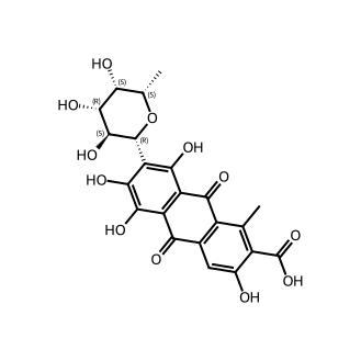 Cc1c(C(=O)O)c(O)cc2c1C(=O)c1c(O)c([C@H]3O[C@@H](C)[C@@H](O)[C@@H](O)[C@@H]3O)c(O)c(O)c1C2=O